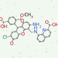 COC(=O)c1ccc(C(=O)O)cc1-c1c2cc(Cl)c(=O)cc-2oc2c(CNc3cccc4ccc(C(=O)O)nc34)c(N)ccc12